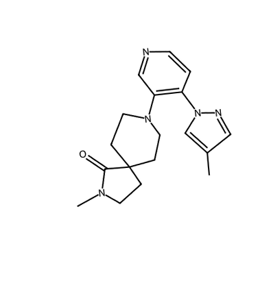 Cc1cnn(-c2ccncc2N2CCC3(CCN(C)C3=O)CC2)c1